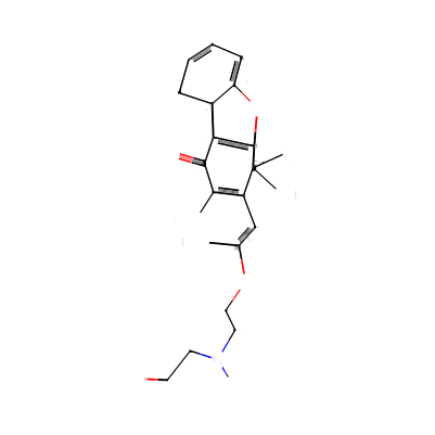 CCN(CCO)CCO/C(C)=C/C1=C(C)C(=O)C2=C(OC3=CC=CCC32)C1(C)C